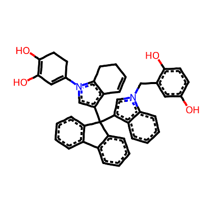 OC1=C(O)CCC(n2cc(C3(c4cn(Cc5cc(O)ccc5O)c5ccccc45)c4ccccc4-c4ccccc43)c3c2CCC=C3)=C1